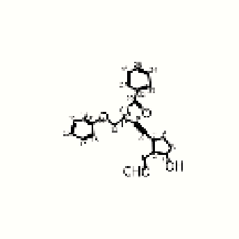 O=CCC1C(O)CCC1C#CC(COc1ccccc1)OC(=O)c1ccccc1